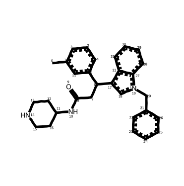 Cc1cccc(C(CC(=O)NC2CCNCC2)c2cn(Cc3ccccc3)c3ccccc23)c1